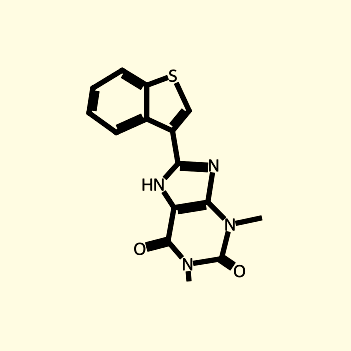 Cn1c(=O)c2[nH]c(-c3csc4ccccc34)nc2n(C)c1=O